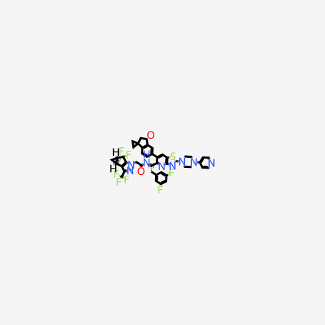 O=C(Cn1nc(C(F)(F)F)c2c1C(F)(F)[C@@H]1C[C@H]21)N[C@@H](Cc1cc(F)cc(F)c1)c1nc2nc(N3CCN(c4ccncc4)CC3)sc2cc1-c1ccc2c(c1)C(=O)CC21CC1